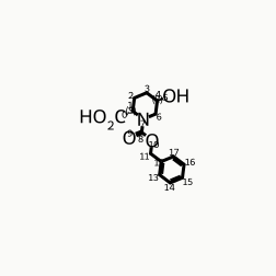 O=C(O)[C@@H]1CC[C@@H](O)CN1C(=O)OCc1ccccc1